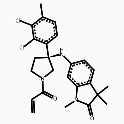 C=CC(=O)N1CC[C@](Nc2ccc3c(c2)N(C)C(=O)C3(C)C)(c2ccc(C)c(Cl)c2Cl)C1